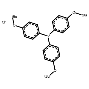 CC(C)(C)Oc1ccc([S+](c2ccc(OC(C)(C)C)cc2)c2ccc(OC(C)(C)C)cc2)cc1.[Cl-]